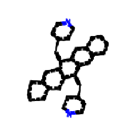 C(c1ccncc1)=c1c2cc3ccccc3cc2c(=Cc2ccncc2)c2cc3ccccc3cc12